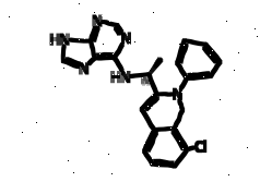 C[C@H](Nc1ncnc2[nH]cnc12)C1=Cc2cccc(Cl)c2CN1c1ccccc1